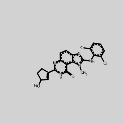 Cn1c(Nc2c(Cl)cccc2Cl)nc2ccc3nc(C4=CC(O)CC4)[nH]c(=O)c3c21